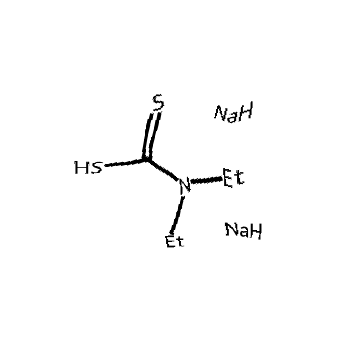 CCN(CC)C(=S)S.[NaH].[NaH]